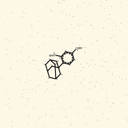 COc1ccc(C23CC4CC(CC(C4)C2)C3)c(OC)c1